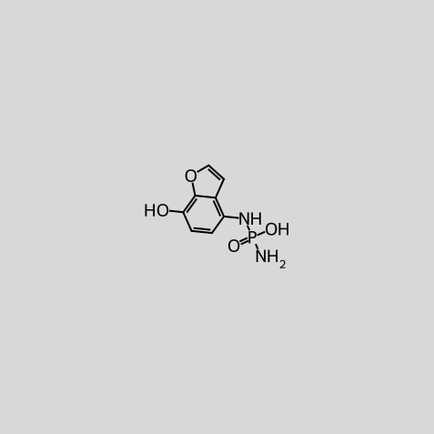 NP(=O)(O)Nc1ccc(O)c2occc12